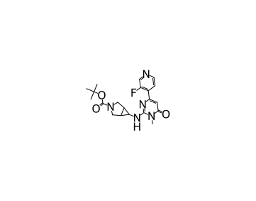 Cn1c(NC2C3CN(C(=O)OC(C)(C)C)CC32)nc(-c2ccncc2F)cc1=O